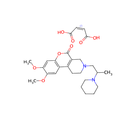 COc1cc2oc(=O)c3c(c2cc1OC)CCN(CC(C)N1CCCCC1)C3.O=C(O)/C=C\C(=O)O